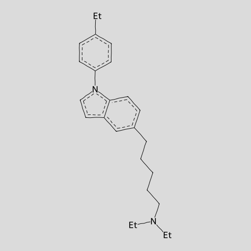 CCc1ccc(-n2ccc3cc(CCCCCN(CC)CC)ccc32)cc1